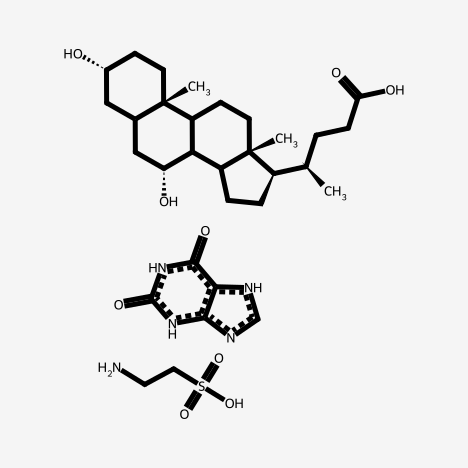 C[C@H](CCC(=O)O)[C@H]1CCC2C3C(CC[C@@]21C)[C@@]1(C)CC[C@@H](O)CC1C[C@H]3O.NCCS(=O)(=O)O.O=c1[nH]c(=O)c2[nH]cnc2[nH]1